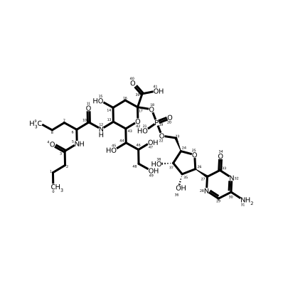 CCCC(=O)NC(CCC)C(=O)NC1C(O)CC(OP(=O)(O)OC[C@H]2O[C@@H](C3N=CC(N)=NC3=O)[C@H](O)[C@@H]2O)(C(=O)O)OC1C(O)C(O)CO